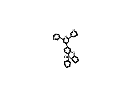 O=P1(c2ccccc2)c2ccccc2Oc2cc(-c3cc(-c4cccnc4)nc(-c4cccnc4)c3)ccc21